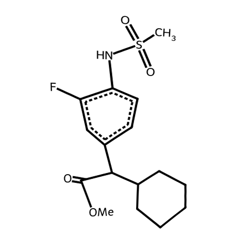 COC(=O)C(c1ccc(NS(C)(=O)=O)c(F)c1)C1CCCCC1